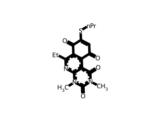 CCCSC1=CC(=O)c2c(c(CC)nc3c2c(=O)n(C)c(=O)n3C)C1=O